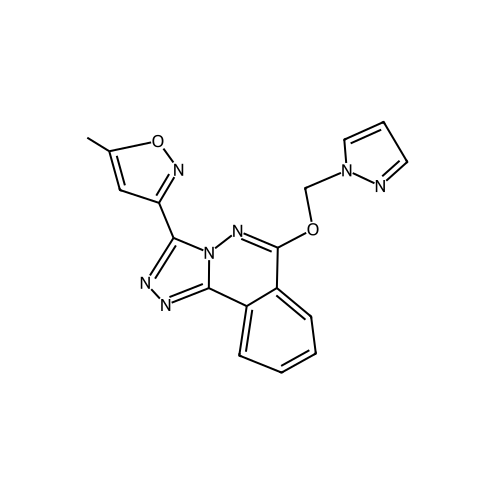 Cc1cc(-c2nnc3c4ccccc4c(OCn4cccn4)nn23)no1